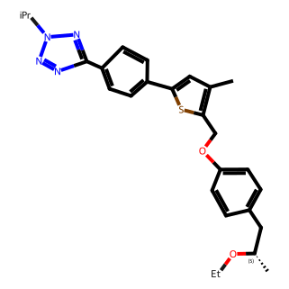 CCO[C@@H](C)Cc1ccc(OCc2sc(-c3ccc(-c4nnn(C(C)C)n4)cc3)cc2C)cc1